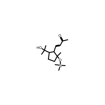 CC(=O)/C=C/C1C(C(C)(C)O)CCC1(C)O[Si](C)(C)C